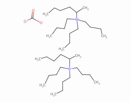 CCCCC(C)[N+](CCCC)(CCCC)CCCC.CCCCC(C)[N+](CCCC)(CCCC)CCCC.O=C([O-])[O-]